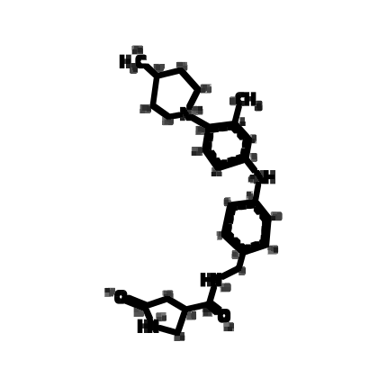 Cc1cc(Nc2ccc(CNC(=O)C3CNC(=O)C3)cc2)ccc1N1CCC(C)CC1